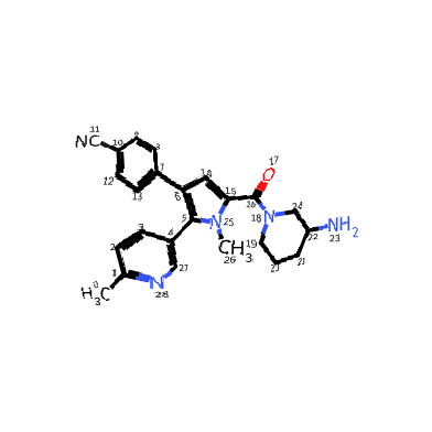 Cc1ccc(-c2c(-c3ccc(C#N)cc3)cc(C(=O)N3CCCC(N)C3)n2C)cn1